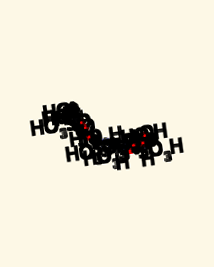 O=c1c2c(=O)/c(=N/Nc3ccccc3[As](=O)(O)O)c(S(=O)(=O)O)cc=2cc(S(=O)(=O)O)/c1=N\Nc1ccc(/C=C/c2ccc(N/N=c3\c(S(=O)(=O)O)cc4cc(S(=O)(=O)O)/c(=N\Nc5ccccc5[As](=O)(O)O)c(=O)c=4c3=O)cc2S(=O)(=O)O)c(S(=O)(=O)O)c1